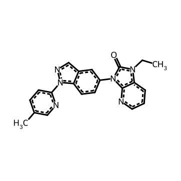 CCn1c(=O)n(-c2ccc3c(cnn3-c3ccc(C)cn3)c2)c2ncccc21